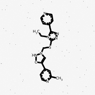 CCn1c(SCN2C=C(c3ccnc(C)c3)ON2)nnc1-c1ccncc1